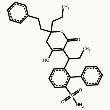 CCCC1(CCc2ccccc2)CC(O)=C(C(CC)c2cccc(S(N)(=O)=O)c2-c2ccccc2)C(=O)O1